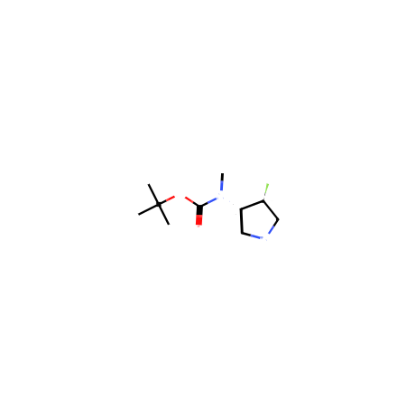 CN(C(=O)OC(C)(C)C)[C@H]1CNC[C@@H]1F